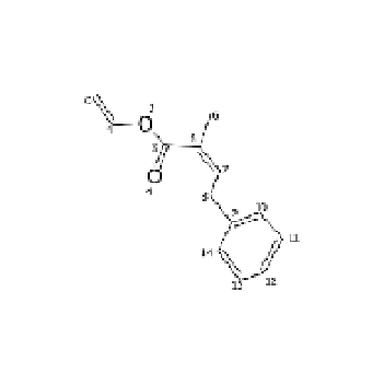 C=COC(=O)C(C)=CCc1ccccc1